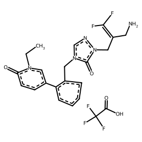 CCn1cc(-c2ccccc2Cn2cnn(CC(CN)=C(F)F)c2=O)ccc1=O.O=C(O)C(F)(F)F